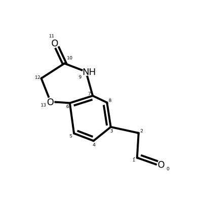 O=[C]Cc1ccc2c(c1)NC(=O)CO2